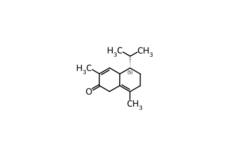 CC1=CC2C(=C(C)CC[C@H]2C(C)C)CC1=O